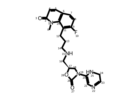 Cn1c(=O)ccc2ccc(F)c(CCCNC[C@H]3CN(C4=CN=CCN4)C(=O)O3)c21